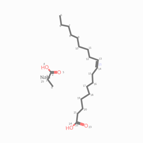 CCC(=O)O.CCCCCCCC/C=C\CCCCCCCC(=O)O.[NaH]